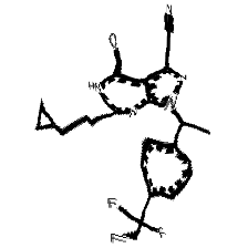 CC(c1ccc(C(F)(F)F)cc1)n1nc(C#N)c2c(=O)[nH]c(CC3CC3)nc21